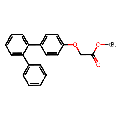 CC(C)(C)OC(=O)COc1ccc(-c2ccccc2-c2ccccc2)cc1